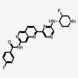 O=C(Nc1cc2nc(-c3cncc(N[C@H]4CCNC[C@@H]4F)n3)ccc2cn1)c1ccc(F)cc1